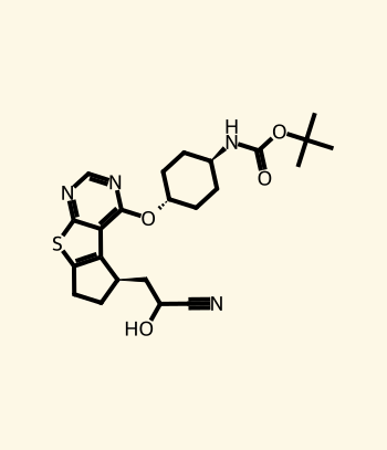 CC(C)(C)OC(=O)N[C@H]1CC[C@H](Oc2ncnc3sc4c(c23)[C@@H](CC(O)C#N)CC4)CC1